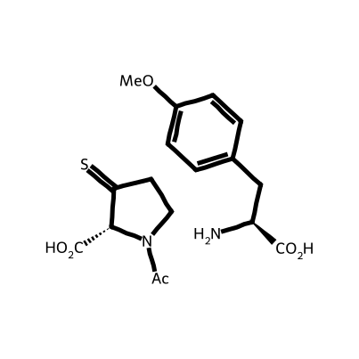 CC(=O)N1CCC(=S)[C@H]1C(=O)O.COc1ccc(C[C@H](N)C(=O)O)cc1